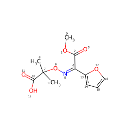 COC(=O)C(=NOC(C)(C)C(=O)O)c1ccco1